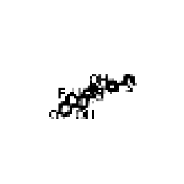 C[C@]12C[C@H](O)[C@@]3(F)[C@@H](C[C@H](F)C4=CC(=O)C=C[C@@]43C)[C@]1(C)C[C@H]1CN(c3ccc(-c4cccs4)cc3)O[C@]12C(=O)CO